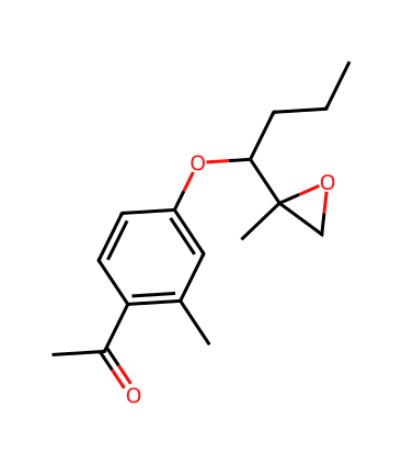 CCCC(Oc1ccc(C(C)=O)c(C)c1)C1(C)CO1